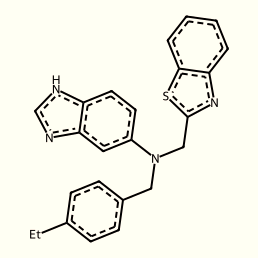 CCc1ccc(CN(Cc2nc3ccccc3s2)c2ccc3[nH]cnc3c2)cc1